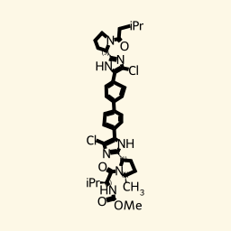 COC(=O)N[C@H](C(=O)N1[C@@H](C)CC[C@H]1c1nc(Cl)c(-c2ccc(-c3ccc(-c4[nH]c([C@@H]5CCCN5C(=O)CC(C)C)nc4Cl)cc3)cc2)[nH]1)C(C)C